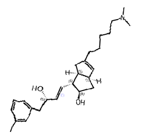 Cc1cccc(C[C@H](O)/C=C/[C@@H]2[C@H]3CC(CCCCCN(C)C)=C[C@H]3C[C@H]2O)c1